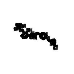 NC1C(c2cc(Cc3ccc(OCc4ccc(Cl)s4)nc3)no2)=CC=CN1COP(=O)(O)O